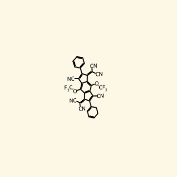 N#CC(C#N)=C1C(C2=CC=CCC2)=C(C#N)c2c(OC(F)(F)F)c3c(c(OC(F)(F)F)c21)C(C#N)=C(c1ccccc1)C3=C(C#N)C#N